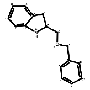 c1ccc(COCC2Cc3ccccc3N2)cc1